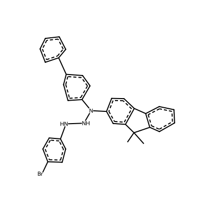 CC1(C)c2ccccc2-c2ccc(N(NNc3ccc(Br)cc3)c3ccc(-c4ccccc4)cc3)cc21